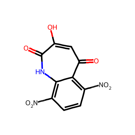 O=c1[nH]c2c([N+](=O)[O-])ccc([N+](=O)[O-])c2c(=O)cc1O